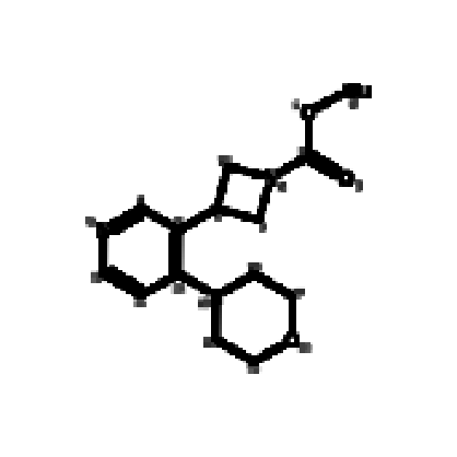 CC(C)(C)OC(=O)N1CC(c2cnccc2N2CCOCC2)C1